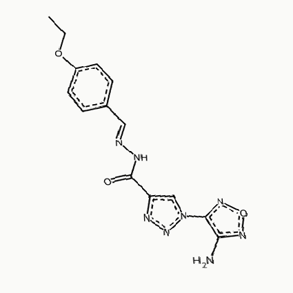 CCOc1ccc(C=NNC(=O)c2cn(-c3nonc3N)nn2)cc1